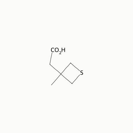 CC1(CC(=O)O)CSC1